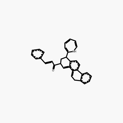 O=C(C=Cc1ccccc1)C1C=c2c(ccc3c2=CCc2ccccc2-3)C(C2=CC=CC=CN2)C1